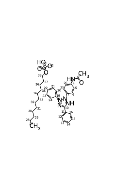 CC(=O)Nc1ccc(N2NC(c3ccccc3)=NN2c2ccccc2)cc1.CCCCCCCCCCCCOS(=O)(=O)O